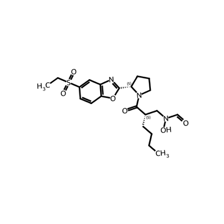 CCCC[C@@H](CN(O)C=O)C(=O)N1CCC[C@H]1c1nc2cc(S(=O)(=O)CC)ccc2o1